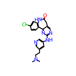 CN(C)CCc1cncc(Nc2ncc3c(n2)-c2ccc(Cl)cc2NC(=O)C3)c1